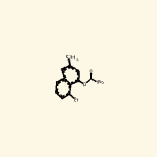 CCc1cccc2cc(C)cc(OC(=O)C(C)(C)C)c12